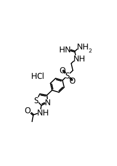 CC(=O)Nc1nc(-c2ccc(S(=O)(=O)CCNC(=N)N)cc2)cs1.Cl